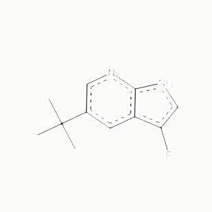 CC(C)(C)c1cnc2[nH]cc(F)c2c1